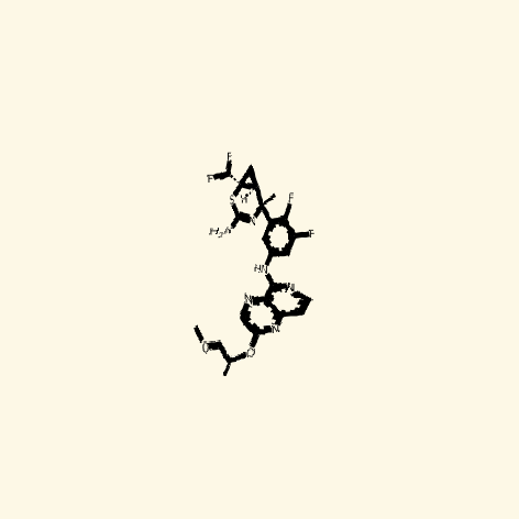 COC[C@H](C)Oc1cnc2c(Nc3cc(F)c(F)c([C@]4(C)N=C(N)S[C@@]5(C(F)F)C[C@@H]45)c3)nccc2n1